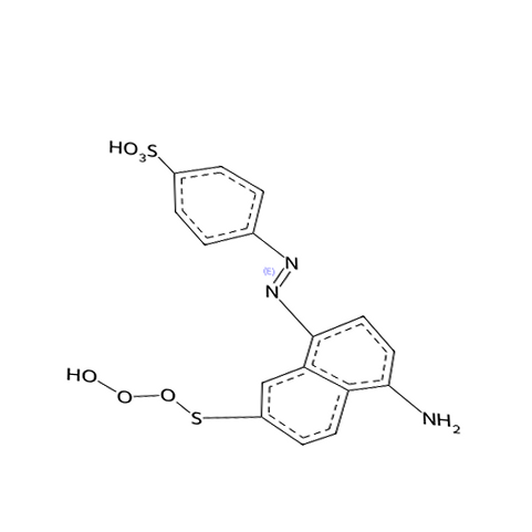 Nc1ccc(/N=N/c2ccc(S(=O)(=O)O)cc2)c2cc(SOOO)ccc12